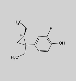 CC[C@@H]1CC1(CC)c1ccc(O)c(F)c1